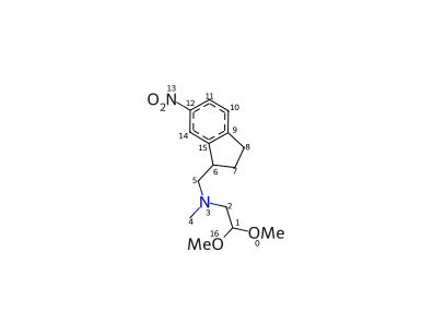 COC(CN(C)CC1CCc2ccc([N+](=O)[O-])cc21)OC